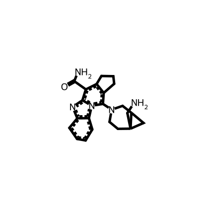 NCC12CCN(c3c4c(c(C(N)=O)c5nc6ccccc6n35)CCC4)CC1C2